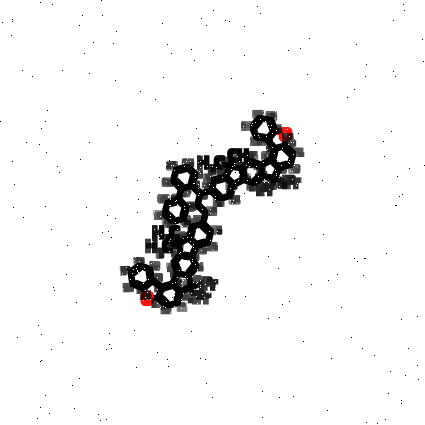 CC(C)C1(C(C)C)c2cc3c(cc2-c2c1ccc1oc4ccccc4c21)C(C)(C)c1cc(CCC(c2ccc4c(c2)C(C)(C)c2cc5c(cc2-4)C(C(C)C)(C(C)C)c2ccc4oc6ccccc6c4c2-5)c2ccccc2-c2ccccc2)ccc1-3